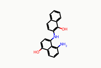 Nc1cccc2c(O)ccc(Nc3ccc4ccccc4c3O)c12